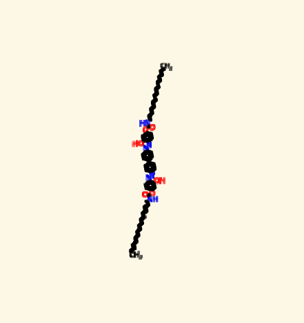 CCCCCCCCCCCCCCCCCCNC(=O)Oc1ccc(/N=N/c2ccc(-c3ccc(/N=N/c4ccc(OC(=O)NCCCCCCCCCCCCCCCCCC)cc4O)cc3)cc2)c(O)c1